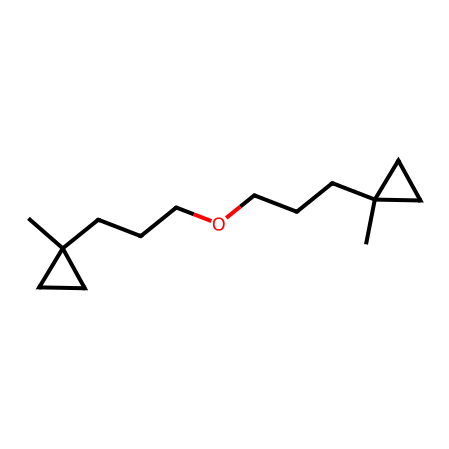 CC1(CCCOCCCC2(C)CC2)CC1